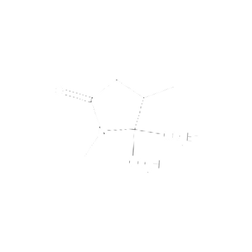 CCOC(=O)C1(C(=O)O)C(C)CC(=O)N1C